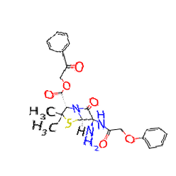 CC1(C)S[C@H]2N(C(=O)[C@]2(N)NC(=O)COc2ccccc2)[C@H]1C(=O)OCC(=O)c1ccccc1